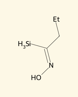 CCCC([SiH3])=NO